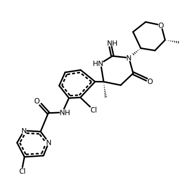 C[C@@H]1C[C@H](N2C(=N)N[C@](C)(c3cccc(NC(=O)c4ncc(Cl)cn4)c3Cl)CC2=O)CCO1